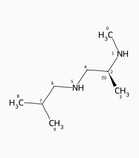 CN[C@@H](C)CNCC(C)C